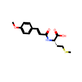 COc1ccc(/C=C/C(=O)N[C@@H](CCSC)C(=O)O)cc1